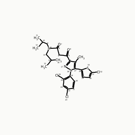 Cc1c(C(=O)CC(=O)N(CC(C)C)CC(C)C)nn(-c2ccc(Cl)cc2Cl)c1-c1ccc(Cl)s1